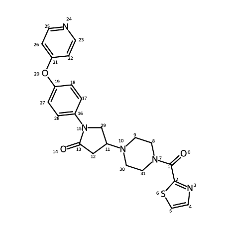 O=C(c1nccs1)N1CCN(C2CC(=O)N(c3ccc(Oc4ccncc4)cc3)C2)CC1